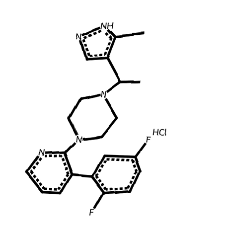 Cc1[nH]ncc1C(C)N1CCN(c2ncccc2-c2cc(F)ccc2F)CC1.Cl